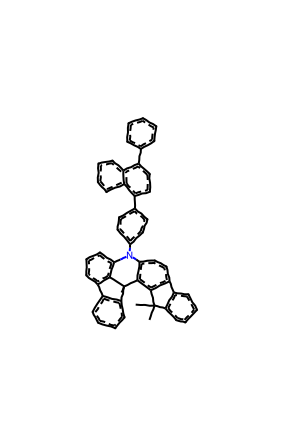 CC1(C)c2ccccc2-c2ccc3c(c21)C1(C)c2ccccc2-c2cccc(c21)N3c1ccc(-c2ccc(-c3ccccc3)c3ccccc23)cc1